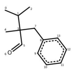 CC(C)C(C)(C=O)Cc1ccccc1